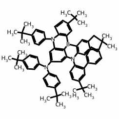 CC1(C)Cc2cc3c(cc2C1)N(c1ccc(C(C)(C)C)cc1-c1ccccc1)c1cc(N(c2ccc(C(C)(C)C)cc2)c2ccc(C(C)(C)C)cc2)cc2c1B3c1cc(C(C)(C)C)ccc1N2c1ccc(C(C)(C)C)cc1